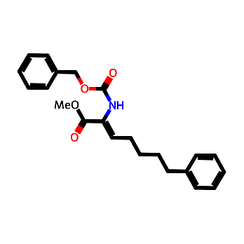 COC(=O)C(=CCCCCc1ccccc1)NC(=O)OCc1ccccc1